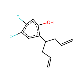 C=CCC(CC=C)c1cc(F)c(F)cc1O